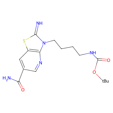 CC(C)(C)OC(=O)NCCCCn1c(=N)sc2cc(C(N)=O)cnc21